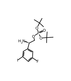 CC(C)(C)OP(=O)(OC[C@H](N)c1cc(F)cc(I)c1)OC(C)(C)C